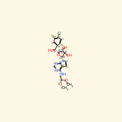 COC(CNc1ncnc2c1ccn2[C@@H]1O[C@H](C(O)c2ccc(Cl)c(F)c2)[C@@H](O)[C@H]1O)OC